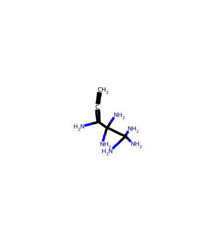 C=C=C(N)C(N)(N)C(N)(N)N